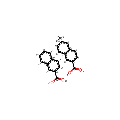 O=C([O-])c1ccc2ccccc2c1.O=C([O-])c1ccc2ccccc2c1.[Ba+2]